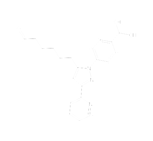 CC(C)c1ccc(-n2nc(-c3ccccn3)cc2CCCCC[C]=O)cc1